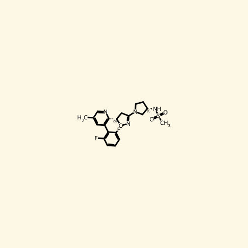 Cc1cnc([C@@H]2CC(N3CC[C@H](NS(C)(=O)=O)C3)=NO2)c(-c2c(F)cccc2F)c1